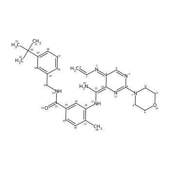 C=C/N=C1/C=NC(N2CCOCC2)=N/C1=C(/N)Nc1cc(C(=O)NCc2cccc(C(C)(C)C)c2)ccc1C